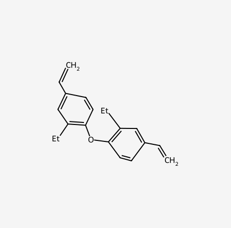 C=Cc1ccc(Oc2ccc(C=C)cc2CC)c(CC)c1